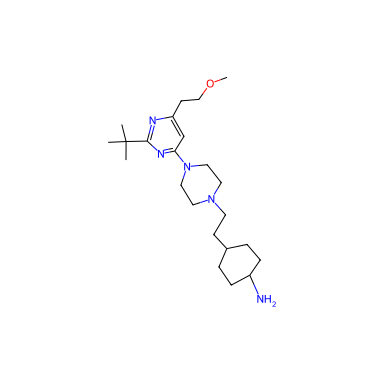 COCCc1cc(N2CCN(CCC3CCC(N)CC3)CC2)nc(C(C)(C)C)n1